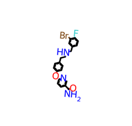 NC(=O)c1ccc(Oc2ccc(CCNCc3ccc(F)c(Br)c3)cc2)nc1